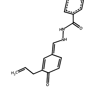 C=CCC1=C/C(=C/NNC(=O)c2ccncc2)C=CC1=O